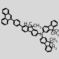 CC1(C)c2ccccc2-c2ccc(N(c3ccc4c(c3)C(C)(C)c3ccccc3-4)c3ccc4c(c3)C(C)(C)c3cc(-c5ccc(-c6cc7ccccc7c7ccccc67)cc5)ccc3-4)cc21